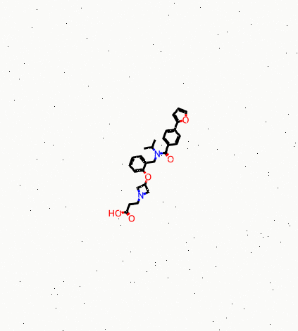 CC(C)N(Cc1ccccc1OC1CN(CCC(=O)O)C1)C(=O)c1ccc(-c2ccco2)cc1